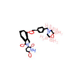 BC1OC(B)(B)CN(Cc2ccc(COc3cccc4c3CN(C3CCC(=O)NC3=O)C4=O)cc2)C1(B)B